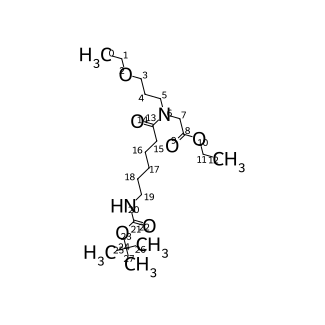 CCOCCCN(CC(=O)OCC)C(=O)CCCCCNC(=O)OC(C)(C)C